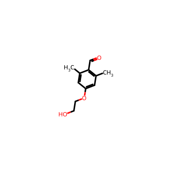 Cc1cc(OCCO)cc(C)c1C=O